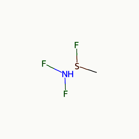 CSF.FNF